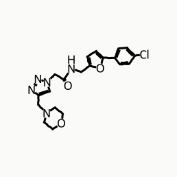 O=C(Cn1cc(CN2CCOCC2)nn1)NCc1ccc(-c2ccc(Cl)cc2)o1